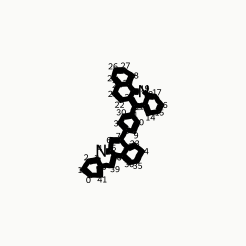 c1ccc2nc3cc(-c4ccc(-c5c6ccccc6nc6c5ccc5ccccc56)cc4)c4ccccc4c3cc2c1